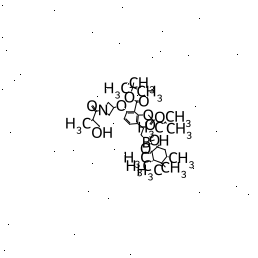 C[C@H](CO)C(=O)N1CC(Oc2ccc(CCB3O[C@@H]4C[C@H](C)C(C)(C)[C@H](C)[C@]4(C)O3)c(OC(=O)OC(C)(C)C)c2C(=O)OC(C)(C)C)C1